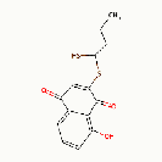 CCCC(S)SC1=CC(=O)c2cccc(O)c2C1=O